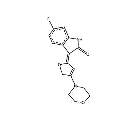 O=C1Nc2cc(F)ccc2C1=C1C=C(N2CCOCC2)CO1